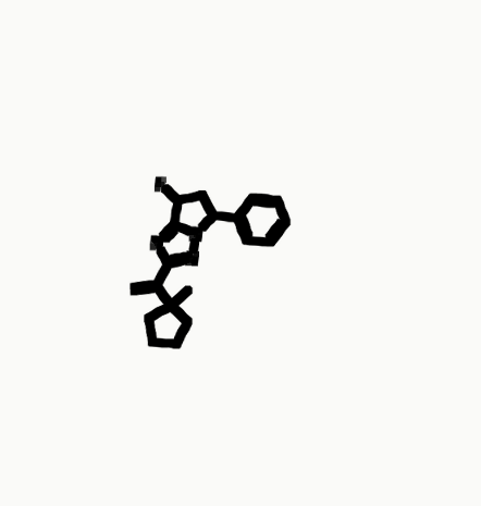 C=C(c1nc2n(n1)C(c1ccccc1)CC2F)C1(C)CCCC1